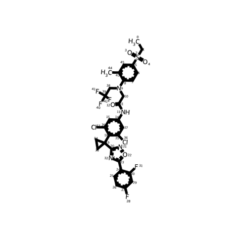 CCS(=O)(=O)c1ccc(N(CC(=O)Nc2cc(Cl)c(C3(c4noc(-c5ccc(F)cc5F)n4)CC3)c(Cl)c2)CC(F)(F)F)c(C)c1